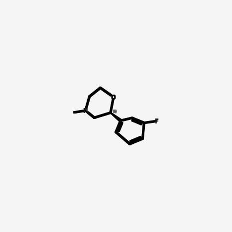 CN1CCO[C@@H](c2cccc(F)c2)C1